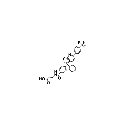 CCS(c1ccc(C(=O)NCCC(=O)O)cc1)(c1ccc(-c2ccc(C(F)(F)F)cc2)nc1)C1CCCCC1